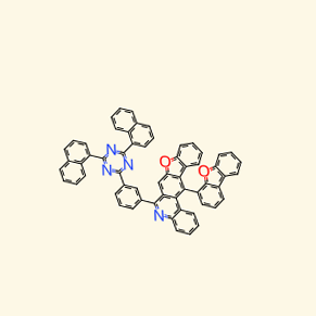 c1cc(-c2nc(-c3cccc4ccccc34)nc(-c3cccc4ccccc34)n2)cc(-c2nc3ccccc3c3c(-c4cccc5c4oc4ccccc45)c4c(cc23)oc2ccccc24)c1